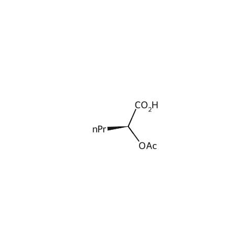 CCC[C@H](OC(C)=O)C(=O)O